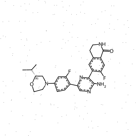 CC(C)[C@@H]1CN(c2ccc(-c3cnc(N)c(-c4cc5c(cc4F)C(=O)NCC5)n3)c(F)c2)CCO1